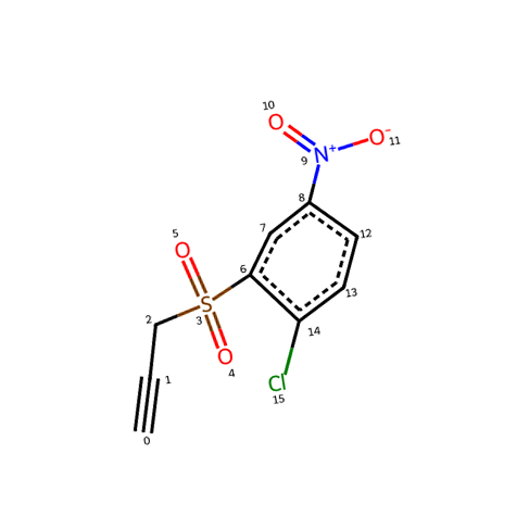 C#CCS(=O)(=O)c1cc([N+](=O)[O-])ccc1Cl